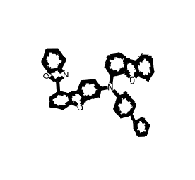 c1ccc(-c2ccc(N(c3ccc4c(c3)oc3cccc(-c5nc6ccccc6o5)c34)c3cccc4c3oc3ccccc34)cc2)cc1